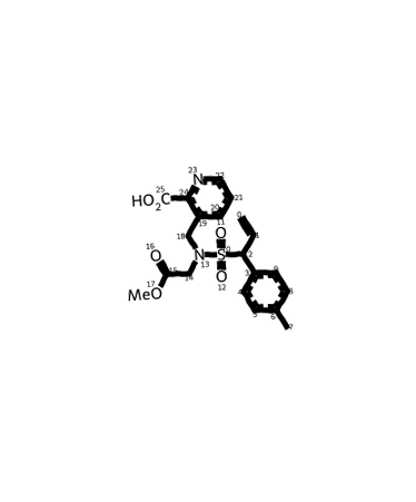 C=CC(c1ccc(C)cc1)S(=O)(=O)N(CC(=O)OC)Cc1cccnc1C(=O)O